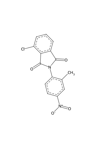 Cc1cc([N+](=O)[O-])ccc1N1C(=O)c2cccc(Cl)c2C1=O